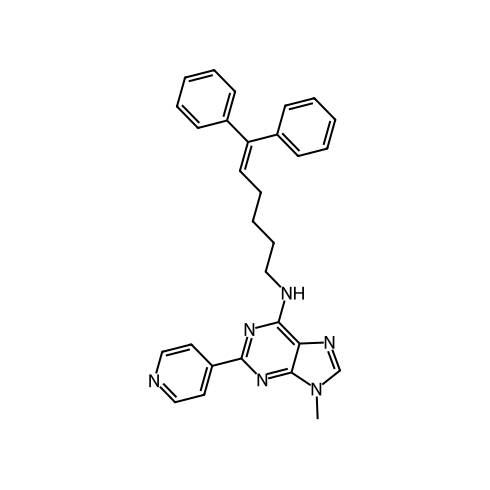 Cn1cnc2c(NCCCCC=C(c3ccccc3)c3ccccc3)nc(-c3ccncc3)nc21